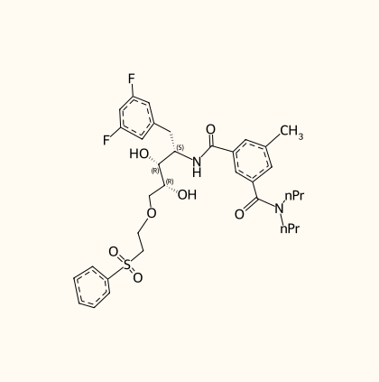 CCCN(CCC)C(=O)c1cc(C)cc(C(=O)N[C@@H](Cc2cc(F)cc(F)c2)[C@@H](O)[C@H](O)COCCS(=O)(=O)c2ccccc2)c1